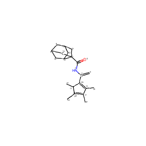 [CH2]=[Ti]([NH]C(=O)C12CC3CC(CC1C3)C2)[C]1=C(C)C(C)=C(C)C1C